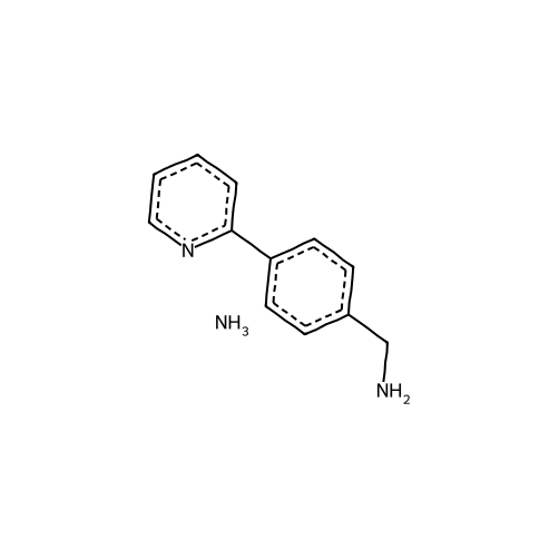 N.NCc1ccc(-c2ccccn2)cc1